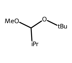 COC(OC(C)(C)C)C(C)C